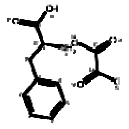 N[C@@H](Cc1ccccc1)C(=O)O.O=C(Cl)C(=O)Cl